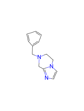 c1ccc(CN2CCn3ccnc3C2)cc1